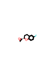 Fc1ccc2c(c1)CCC([C@@H]1CO1)O2